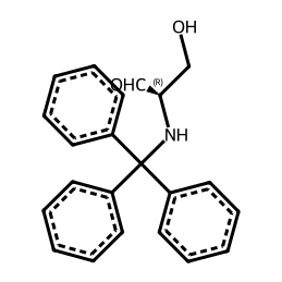 O=C[C@@H](CO)NC(c1ccccc1)(c1ccccc1)c1ccccc1